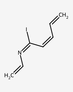 C=C/C=C\C(I)=N/C=C